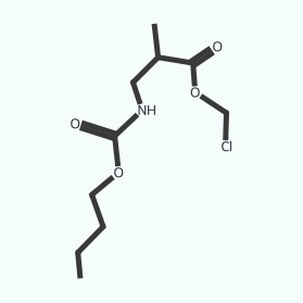 CCCCOC(=O)NCC(C)C(=O)OCCl